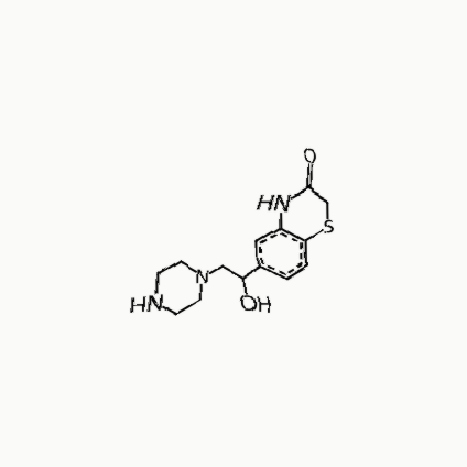 O=C1CSc2ccc(C(O)CN3CCNCC3)cc2N1